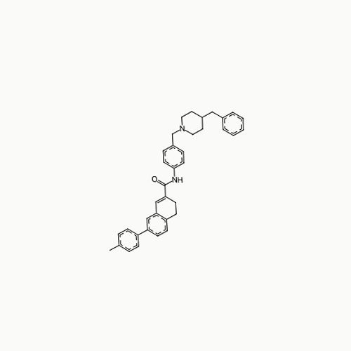 Cc1ccc(-c2ccc3c(c2)C=C(C(=O)Nc2ccc(CN4CCC(Cc5ccccc5)CC4)cc2)CC3)cc1